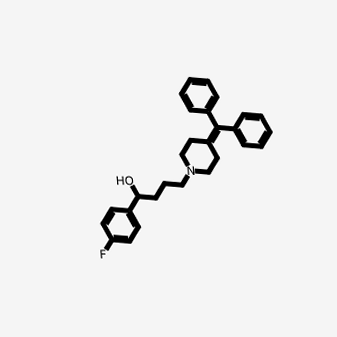 OC(CCCN1CCC(=C(c2ccccc2)c2ccccc2)CC1)c1ccc(F)cc1